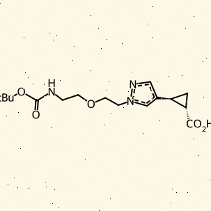 CC(C)(C)OC(=O)NCCOCCn1cc([C@H]2C[C@@H]2C(=O)O)cn1